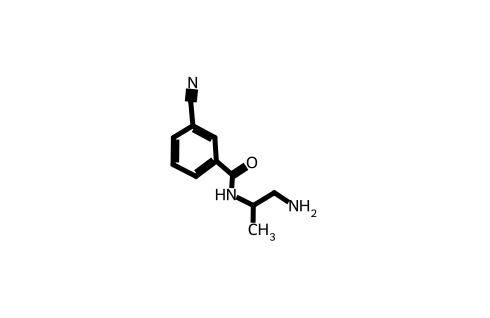 CC(CN)NC(=O)c1cccc(C#N)c1